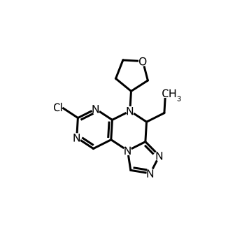 CCC1c2nncn2-c2cnc(Cl)nc2N1C1CCOC1